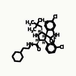 CC(C)(C)C[C@H]1N[C@@H](C(=O)NCCC2CCCCC2)[C@H](c2cccc(Cl)c2F)[C@@]12C(=O)Nc1cc(Cl)ccc12